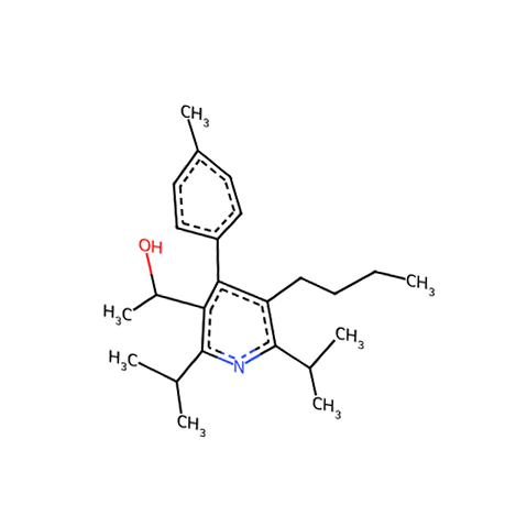 CCCCc1c(C(C)C)nc(C(C)C)c(C(C)O)c1-c1ccc(C)cc1